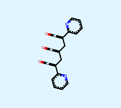 O=C=C(CC(=C=O)c1ccccn1)CC(=C=O)c1ccccn1